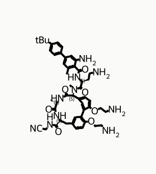 Cc1cc(-c2ccc(C(C)(C)C)cc2)cc(N)c1C(=O)N[C@@H](CCN)C(=O)N(C)[C@@H]1C(=O)N[C@@H](C)C(=O)N[C@H](C(=O)NCC#N)Cc2ccc(OCCN)c(c2)-c2cc1ccc2OCCN